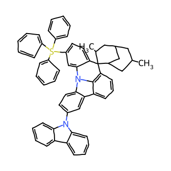 CC1CC2CC(C)C3(c4ccc(S(c5ccccc5)(c5ccccc5)c5ccccc5)cc4-n4c5ccc(-n6c7ccccc7c7ccccc76)cc5c5cccc3c54)C(C1)C2